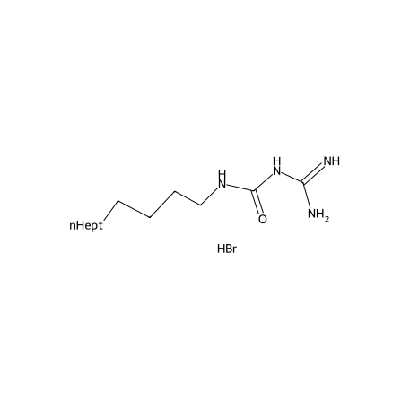 Br.CCCCCCCCCCCNC(=O)NC(=N)N